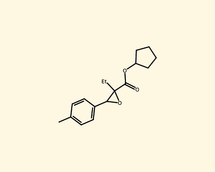 CCC1(C(=O)OC2CCCC2)OC1c1ccc(C)cc1